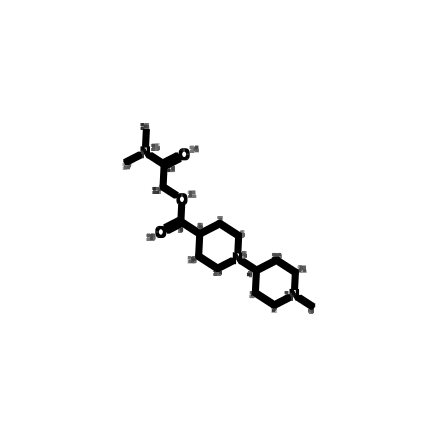 CN1CCC(N2CCC(C(=O)OCC(=O)N(C)C)CC2)CC1